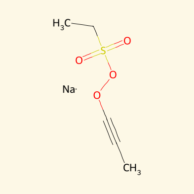 CC#COOS(=O)(=O)CC.[Na]